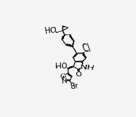 O=C1Nc2cc(Cl)c(-c3ccc(C4(CO)CC4)cc3)cc2C1=C(O)c1cc(Br)no1